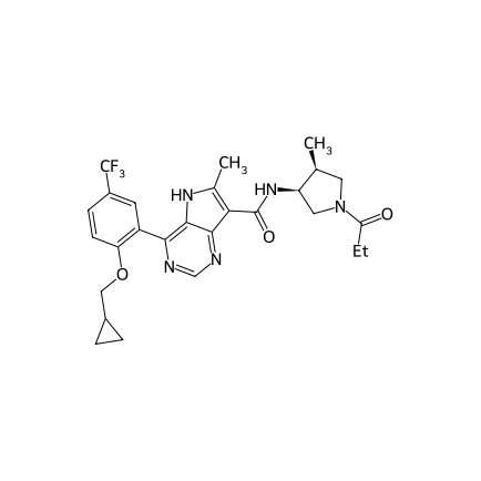 CCC(=O)N1C[C@H](C)[C@H](NC(=O)c2c(C)[nH]c3c(-c4cc(C(F)(F)F)ccc4OCC4CC4)ncnc23)C1